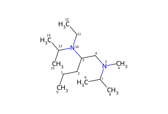 CCCC(CN(C)C(C)C)N(CC)C(C)C